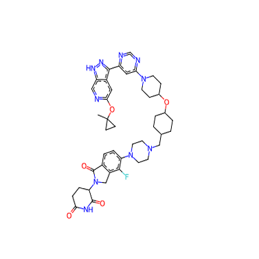 CC1(Oc2cc3c(-c4cc(N5CCC(OC6CCC(CN7CCN(c8ccc9c(c8F)CN(C8CCC(=O)NC8=O)C9=O)CC7)CC6)CC5)ncn4)n[nH]c3cn2)CC1